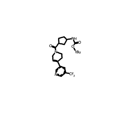 CC(C)(C)OC(=O)NC1CCC(C(=O)N2CC=C(c3cncc(C(F)(F)F)c3)CC2)C1